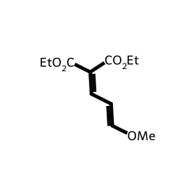 CCOC(=O)C(=C/C=C/OC)C(=O)OCC